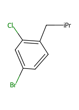 CC(C)Cc1ccc(Br)cc1Cl